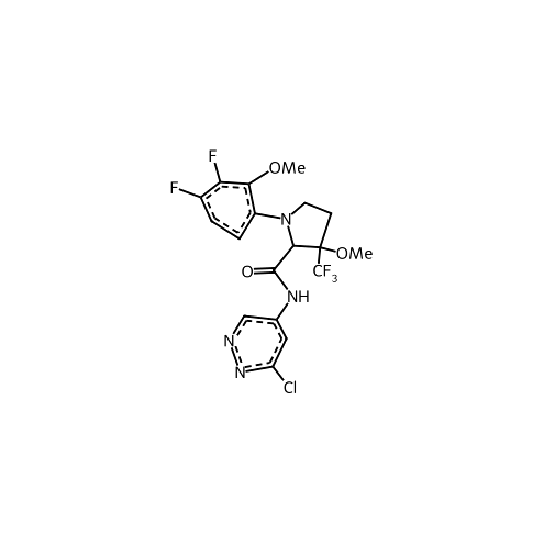 COc1c(N2CCC(OC)(C(F)(F)F)C2C(=O)Nc2cnnc(Cl)c2)ccc(F)c1F